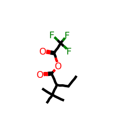 CCC(C(=O)OC(=O)C(F)(F)F)C(C)(C)C